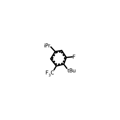 CC(C)c1cc(F)c(C(C)(C)C)c(C(F)(F)F)c1